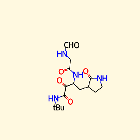 CC(C)(C)NC(=O)C(=O)C(CC1CCNC1=O)NC(=O)CNC=O